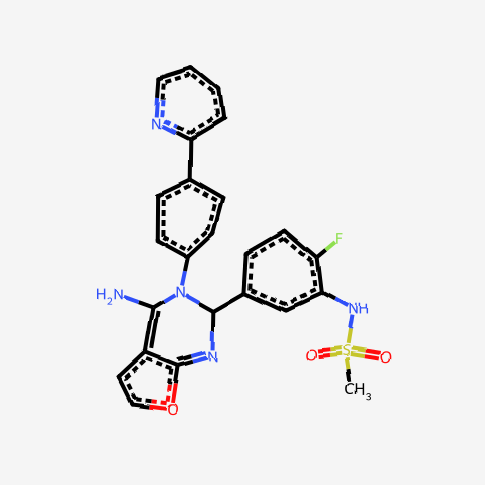 CS(=O)(=O)Nc1cc(C2N=c3occc3=C(N)N2c2ccc(-c3ccccn3)cc2)ccc1F